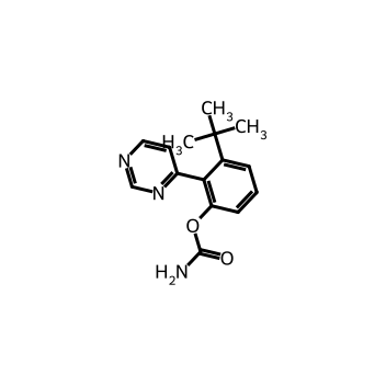 CC(C)(C)c1cccc(OC(N)=O)c1-c1ccncn1